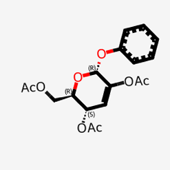 CC(=O)OC[C@H]1O[C@H](Oc2ccccc2)C(OC(C)=O)=C[C@@H]1OC(C)=O